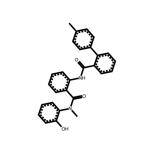 Cc1ccc(-c2ccccc2C(=O)Nc2ccccc2C(=O)N(C)c2ccccc2O)cc1